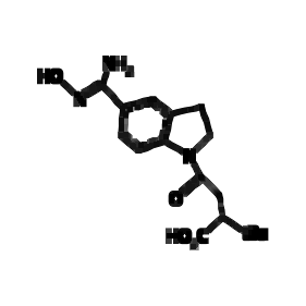 CC(C)(C)C(CC(=O)N1CCc2cc(C(N)=NO)ccc21)C(=O)O